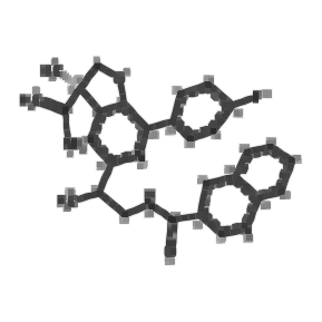 C=C(N)[C@@]1(C)COc2c1cc(C(CNC(=O)c1cnc3ccccc3c1)C(F)(F)F)nc2-c1ccc(F)cc1